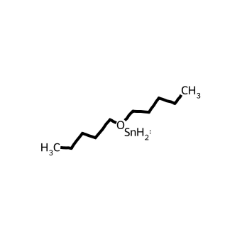 CCCCCOCCCCC.[SnH2]